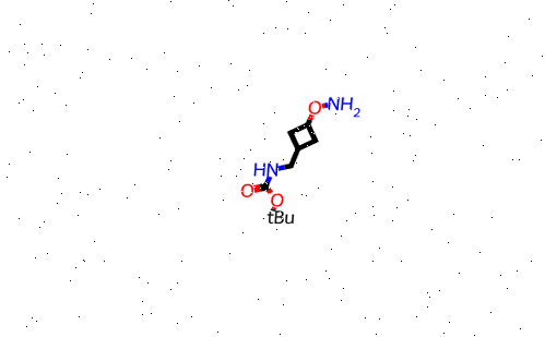 CC(C)(C)OC(=O)NCC1CC(ON)C1